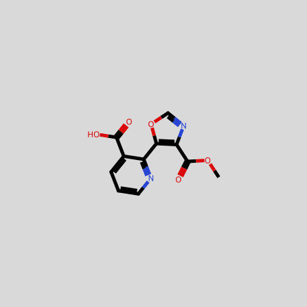 COC(=O)c1ncoc1-c1ncccc1C(=O)O